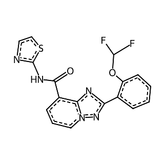 O=C(Nc1nccs1)c1cccn2nc(-c3ccccc3OC(F)F)nc12